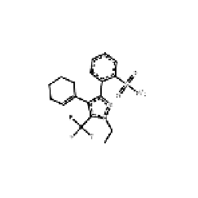 CCn1nc(-c2ccccc2S(N)(=O)=O)c(C2=CCCCC2)c1C(F)(F)F